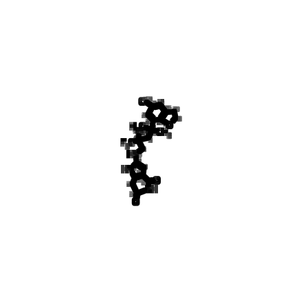 CC(C)(CC(O)(CNc1cc2c([nH]1)CC(=O)NC2=O)C(F)(F)F)c1cc(Cl)cc2c1OCC2